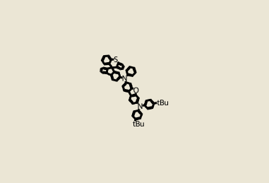 CC(C)(C)c1ccc(N(c2ccc(C(C)(C)C)cc2)c2ccc3c(c2)oc2cc(N(c4ccccc4)c4ccc5c(c4)C4(c6ccccc6Sc6ccccc64)c4ccccc4-5)ccc23)cc1